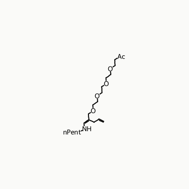 C=CC/C(=C\NCCCCC)COCCOCCOCCOCCC(C)=O